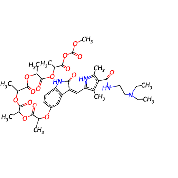 CCN(CC)CCNC(=O)c1c(C)[nH]c(/C=C2\C(=O)Nc3ccc(OC(C)C(=O)OC(C)C(=O)OC(C)C(=O)OC(C)C(=O)OC(C)C(=O)OC(=O)OC)cc32)c1C